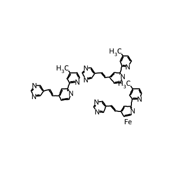 Cc1ccnc(-c2cc(C=Cc3cncnc3)ccn2)c1.Cc1ccnc(-c2cc(C=Cc3cncnc3)ccn2)c1.Cc1ccnc(-c2cc(C=Cc3cncnc3)ccn2)c1.[Fe]